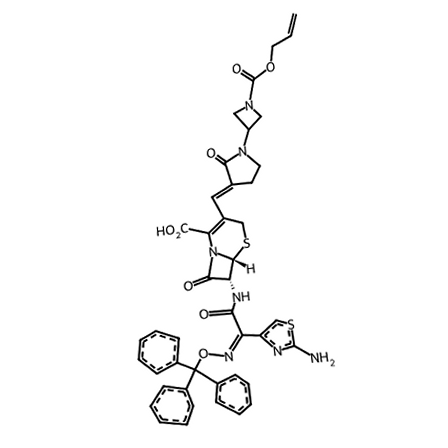 C=CCOC(=O)N1CC(N2CC/C(=C\C3=C(C(=O)O)N4C(=O)[C@@H](NC(=O)/C(=N\OC(c5ccccc5)(c5ccccc5)c5ccccc5)c5csc(N)n5)[C@H]4SC3)C2=O)C1